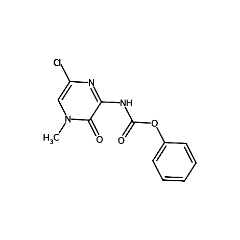 Cn1cc(Cl)nc(NC(=O)Oc2ccccc2)c1=O